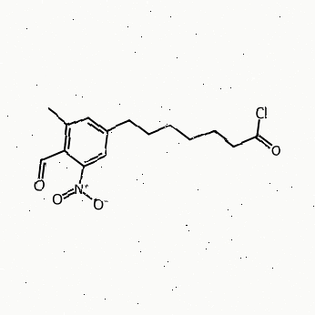 Cc1cc(CCCCCCC(=O)Cl)cc([N+](=O)[O-])c1C=O